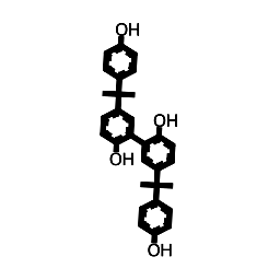 CC(C)(c1ccc(O)cc1)c1ccc(O)c(-c2cc(C(C)(C)c3ccc(O)cc3)ccc2O)c1